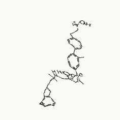 Cc1cc(S(=O)(=O)N(C)C[C@H](O)CNC(C)(C)CC2Cc3ccccc3C2)ccc1-c1ccc(CCC(=O)O)cc1